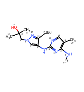 CCNc1nc(Nc2cn(CC(C)(C)O)nc2C(C)(C)C)ncc1C(F)(F)F